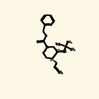 C=CC[C@@H]1CCN(C(=O)OCc2ccccc2)C[C@H]1NC(C)(C)C